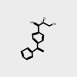 C=C(c1ccccc1)c1ccc(C(=N)[C@@H](CC)CC#N)cc1